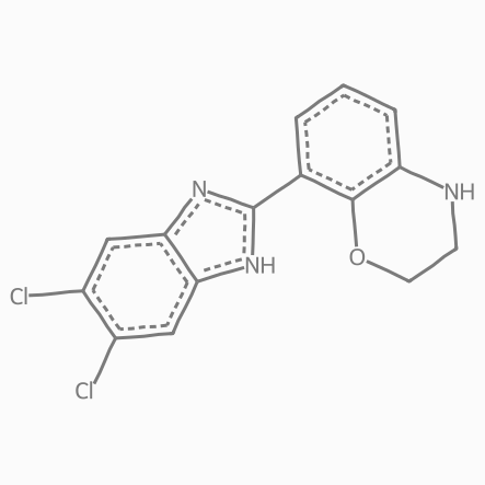 Clc1cc2nc(-c3cccc4c3OCCN4)[nH]c2cc1Cl